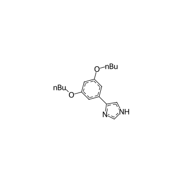 CCCCOc1cc(OCCCC)cc(-c2c[nH]cn2)c1